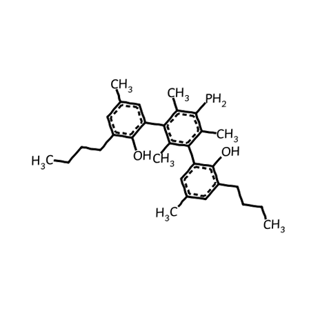 CCCCc1cc(C)cc(-c2c(C)c(P)c(C)c(-c3cc(C)cc(CCCC)c3O)c2C)c1O